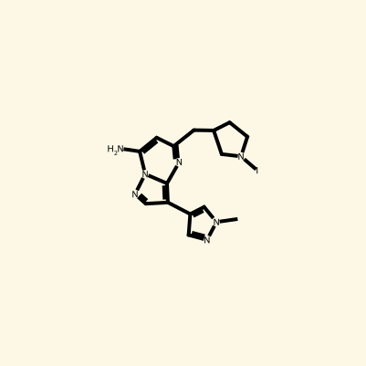 Cn1cc(-c2cnn3c(N)cc(CC4CCN(I)C4)nc23)cn1